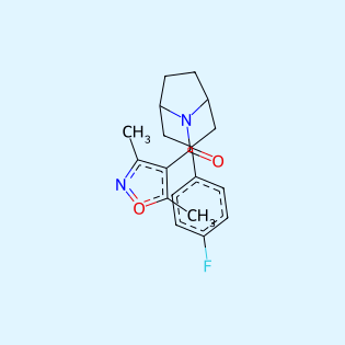 Cc1noc(C)c1C(=O)N1C2CCC1CC(c1ccc(F)cc1)C2